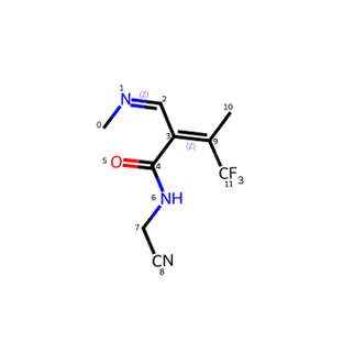 C/N=C\C(C(=O)NCC#N)=C(/C)C(F)(F)F